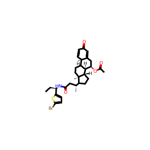 CC[C@@H](NC(=O)C[C@@H](C)C1CC[C@H]2[C@@H]3[C@H](OC(C)=O)CC4=CC(=O)C=C[C@]4(C)[C@H]3CC[C@]12C)c1ccc(Br)s1